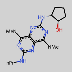 CCCNc1nc(NC)c2nc(N[C@@H]3CCC[C@H]3O)nc(NC)c2n1